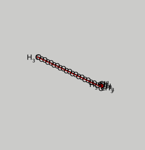 COCCOCCOCCOCCOCCOCCOCCOCCOCCOCCOCCOCCOCCOCCOCCOCCOCCOCCOCCOCCN1C(=O)C(C)(C)N(Cl)C1(C)C